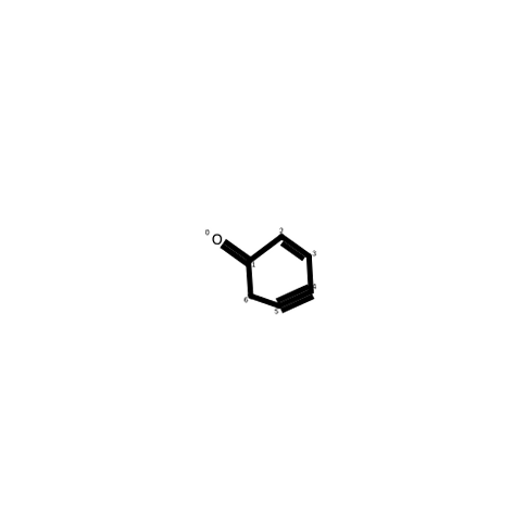 O=C1C=CC#CC1